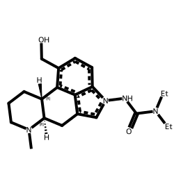 CCN(CC)C(=O)Nn1cc2c3c(c(CO)ccc31)[C@H]1CCCN(C)[C@@H]1C2